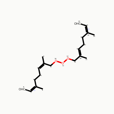 CC(=CCC/C(C)=C\C=O)COOOCC(C)=CCC/C(C)=C\C=O